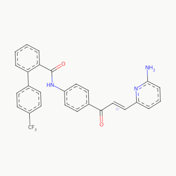 Nc1cccc(/C=C/C(=O)c2ccc(NC(=O)c3ccccc3-c3ccc(C(F)(F)F)cc3)cc2)n1